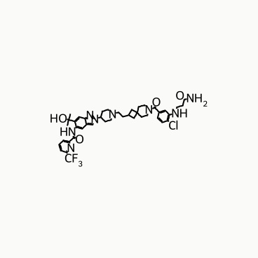 CC(C)(O)c1cc2nn(C3CCN(CCC4CC5(CCN(C(=O)c6ccc(Cl)c(NCCC(N)=O)c6)CC5)C4)CC3)cc2cc1NC(=O)c1cccc(C(F)(F)F)n1